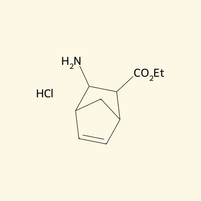 CCOC(=O)C1C2C=CC(C2)C1N.Cl